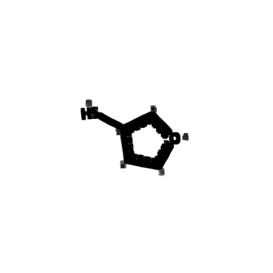 Sc1ccoc1